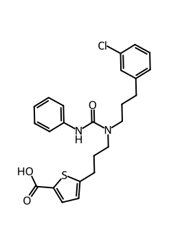 O=C(O)c1ccc(CCCN(CCCc2cccc(Cl)c2)C(=O)Nc2ccccc2)s1